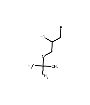 CC(C)(C)OCC(O)CF